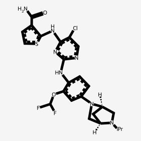 CC(C)N1C[C@H]2C[C@@H]1CN2c1ccc(Nc2ncc(Cl)c(Nc3sccc3C(N)=O)n2)c(OC(F)F)c1